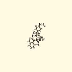 Cl.Cl.Nc1ccc(S(=O)(=O)NC(N)C(N)c2cccc3ccccc23)cc1